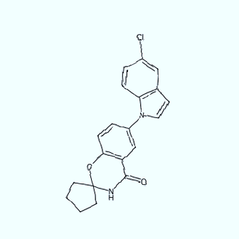 O=C1NC2(CCCC2)Oc2ccc(-n3ccc4cc(Cl)ccc43)cc21